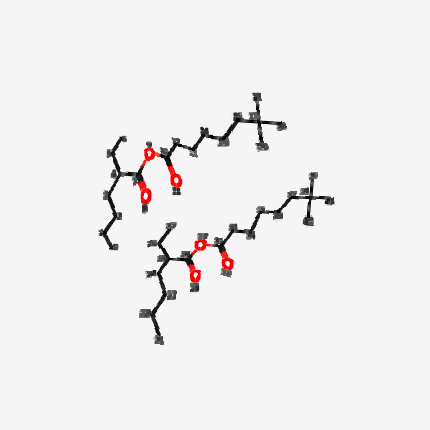 CCCCC(CC)C(=O)OC(=O)CCCCCC(C)(C)C.CCCCC(CC)C(=O)OC(=O)CCCCCC(C)(C)C